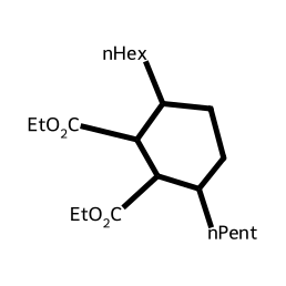 CCCCCCC1CCC(CCCCC)C(C(=O)OCC)C1C(=O)OCC